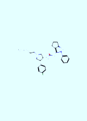 CNCCN1C[C@H](NC(=O)Nc2c3c(nn2-c2ccccc2)CCC3)[C@@H](c2ccc(F)cc2)C1